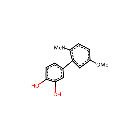 CNc1ccc(OC)cc1-c1ccc(O)c(O)c1